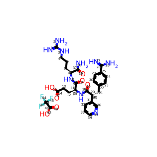 N=C(N)NCCC[C@H](NC(=O)[C@H](CCC(=O)O)NC(=O)[C@H](Cc1ccc(C(=N)N)cc1)c1cccnc1)C(N)=O.O=C(O)C(F)(F)F